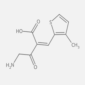 Cc1ccsc1/C=C(\C(=O)O)C(=O)CN